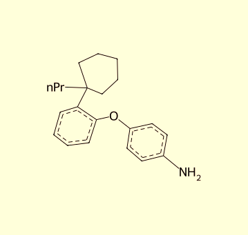 CCCC1(c2ccccc2Oc2ccc(N)cc2)CCCCC1